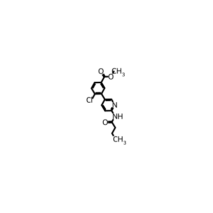 CCCC(=O)Nc1ccc(-c2cc(C(=O)OC)ccc2Cl)cn1